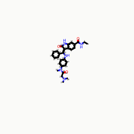 CCNC(=O)c1ccc2c(c1)NC(=O)C2=C(Nc1ccc(N(C)C(=O)CN(C)C)cc1)c1ccccc1